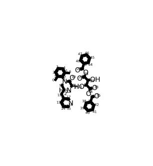 Cc1cccc(C)c1N(CCCc1cccnc1)C(=O)[C@@H](C)N.O=C(OC(=O)C(O)C(O)C(=O)OC(=O)c1ccccc1)c1ccccc1